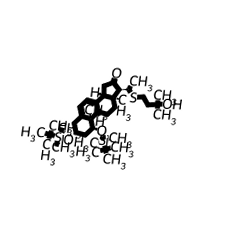 CC(SCCC(C)(C)O)[C@H]1C(=O)C[C@H]2C3=CC=C4C[C@@H](O[Si](C)(C)C(C)(C)C)C[C@H](O[Si](C)(C)C(C)(C)C)[C@]4(C)[C@H]3CC[C@]12C